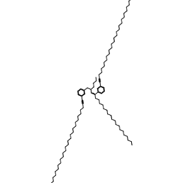 CCCCCCCCCCCCCCCCCCCCCCCCCCC#Cc1cccc(CC(C=C(CCCCCCCCCCCCCCCCCCC)c2cccc(C#CCCCCCCCCCCCCCCCCCCCCCCCCCC)c2)CCCC)c1